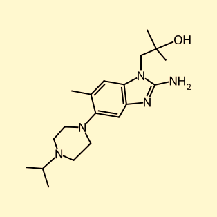 Cc1cc2c(cc1N1CCN(C(C)C)CC1)nc(N)n2CC(C)(C)O